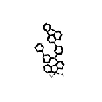 CC1(C)c2ccccc2-c2c(N(c3cccc(-c4cccnc4)c3)c3cccc(-c4ccc5c6c(cccc46)-c4ccccc4-5)c3)cccc21